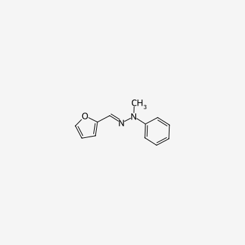 CN(/N=C/c1ccco1)c1ccccc1